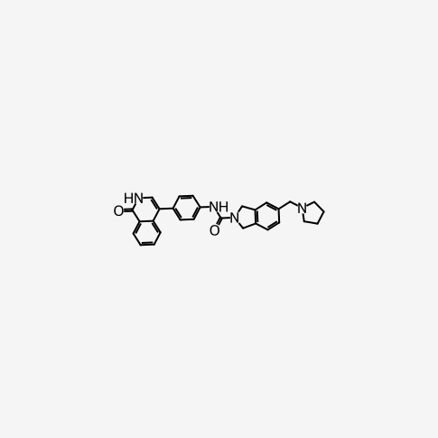 O=C(Nc1ccc(-c2c[nH]c(=O)c3ccccc23)cc1)N1Cc2ccc(CN3CCCC3)cc2C1